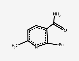 CC(C)(C)c1nc(C(F)(F)F)ccc1C(N)=O